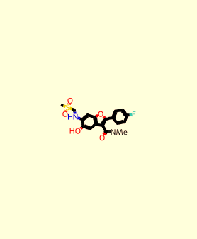 CNC(=O)c1c(-c2ccc(F)cc2)oc2cc(NCS(C)(=O)=O)c(O)cc12